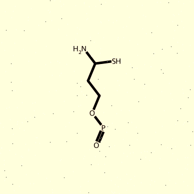 NC(S)CCOP=O